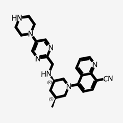 C[C@H]1C[C@@H](NCc2ncc(N3CCNCC3)cn2)CN(c2ccc(C#N)c3ncccc23)C1